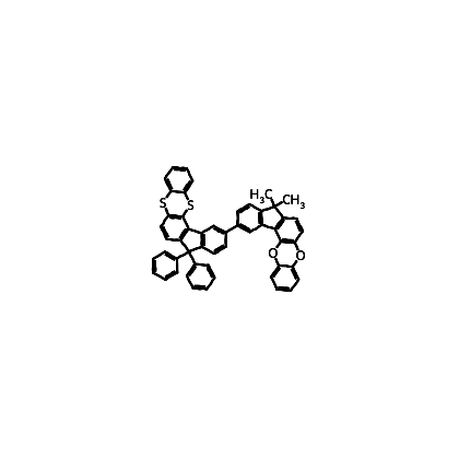 CC1(C)c2ccc(-c3ccc4c(c3)-c3c(ccc5c3Sc3ccccc3S5)C4(c3ccccc3)c3ccccc3)cc2-c2c1ccc1c2Oc2ccccc2O1